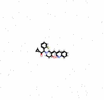 O=C(C1CC1)C(c1ccccc1F)N1CCC(O)/C(=C\c2cnc3ccccc3c2)C1